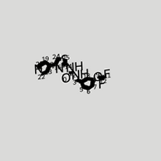 O=C(NCc1cccc(OC(F)F)c1)Nc1nc(-c2ccncc2)cs1